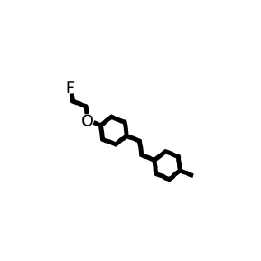 CC1CCC(CCC2CCC(OCCF)CC2)CC1